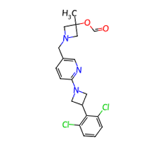 CC1(OC=O)CN(Cc2ccc(N3CC(c4c(Cl)cccc4Cl)C3)nc2)C1